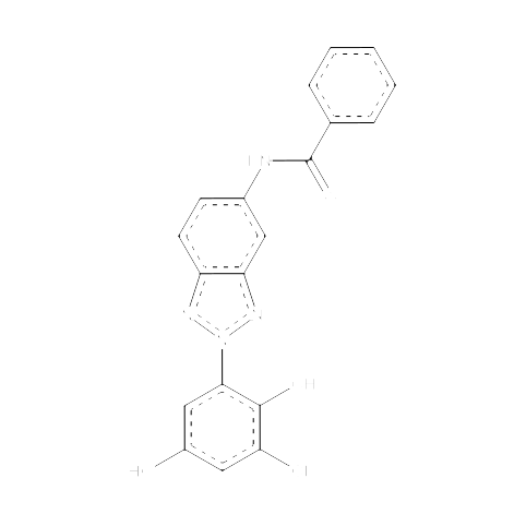 O=C(Nc1ccc2nn(-c3cc(O)cc(O)c3O)nc2c1)c1ccccc1